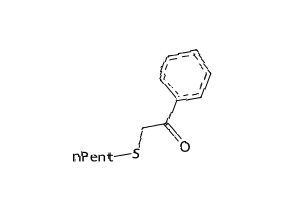 CCCCCSCC(=O)c1ccccc1